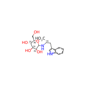 O=C(O)[C@H](Cc1c[nH]c2ccccc12)NC1O[C@H](CO)[C@@H](O)[C@H](O)[C@@H]1O